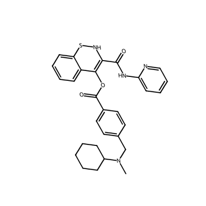 CN(Cc1ccc(C(=O)OC2=C(C(=O)Nc3ccccn3)NSc3ccccc32)cc1)C1CCCCC1